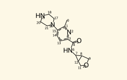 Cc1nc(C(=O)NC2C3COCC32)ccc1N1CCNCC1